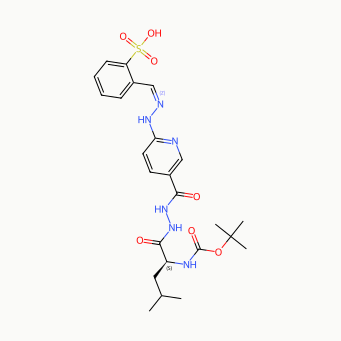 CC(C)C[C@H](NC(=O)OC(C)(C)C)C(=O)NNC(=O)c1ccc(N/N=C\c2ccccc2S(=O)(=O)O)nc1